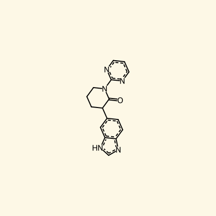 O=C1C(c2ccc3nc[nH]c3c2)CCCN1c1ncccn1